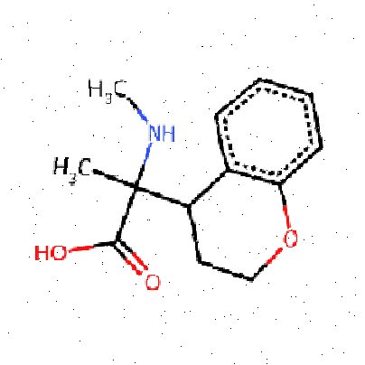 CNC(C)(C(=O)O)C1CCOc2ccccc21